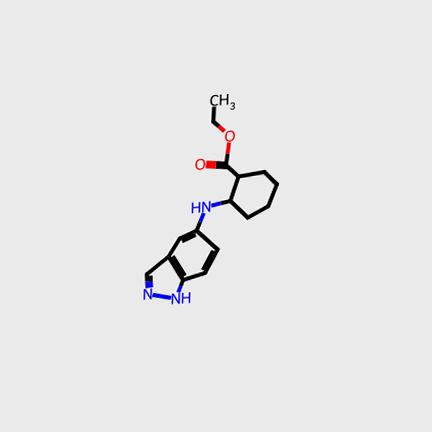 CCOC(=O)C1CCCCC1Nc1ccc2[nH]ncc2c1